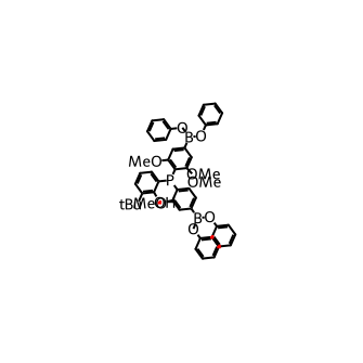 COc1cc(B(Oc2ccccc2)Oc2ccccc2)cc(OC)c1P(c1cccc(C(C)(C)C)c1O)c1c(OC)cc(B(Oc2ccccc2)Oc2ccccc2)cc1OC